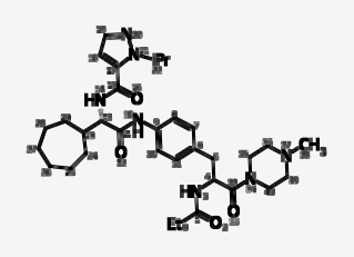 CCC(=O)NC(Cc1ccc(NC(=O)[C@@H](NC(=O)c2ccnn2C(C)C)C2CCCCCC2)cc1)C(=O)N1CCN(C)CC1